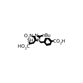 CCCCc1nc([N+](=O)[O-])c(C[C@H](S)C(=O)O)n1Cc1ccc(C(=O)O)cc1